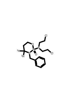 [2H]C1([2H])CCOP(=O)(N(CCCl)CCCl)N1Cc1ccccc1